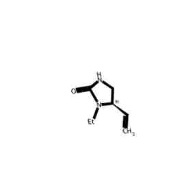 C=C[C@@H]1CNC(=O)N1CC